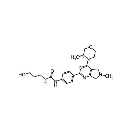 C[C@H]1COCCN1c1nc(-c2ccc(NC(=O)NCCCO)cc2)nc2c1CN(C)C2